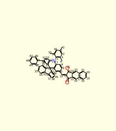 Cc1cc(C)c(N2c3ccc(C=C4C(=O)c5cc6ccccc6cc5C4=O)cc3C3(c4ccccc4-c4ccccc43)c3cc(-c4ccccc4)ccc32)c(C)c1